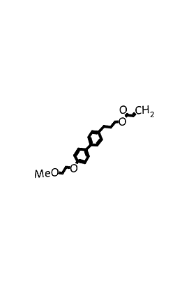 C=CC(=O)OCCCc1ccc(-c2ccc(OCCOC)cc2)cc1